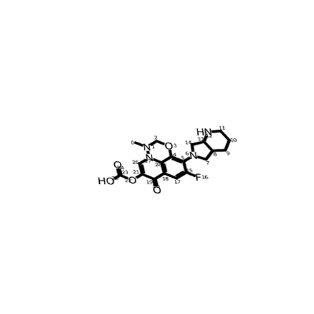 CN1COc2c(N3CC4CCCNC4C3)c(F)cc3c(=O)c(OC(=O)O)cn1c23